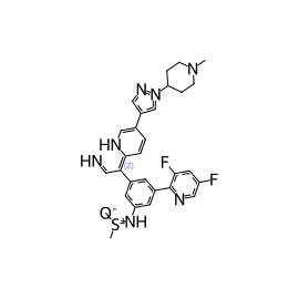 CN1CCC(n2cc(C3=CN/C(=C(\C=N)c4cc(N[S+](C)[O-])cc(-c5ncc(F)cc5F)c4)C=C3)cn2)CC1